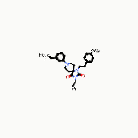 COc1ccc(CCN2C(=O)N(CCC(C)C)C(=O)C23CCN(c2cccc(CC(=O)O)c2)CC3)cc1